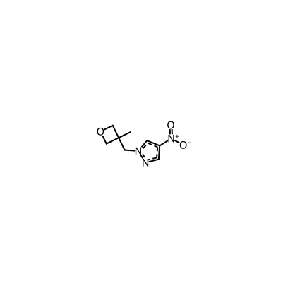 CC1(Cn2cc([N+](=O)[O-])cn2)COC1